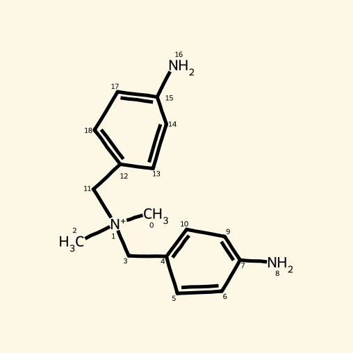 C[N+](C)(Cc1ccc(N)cc1)Cc1ccc(N)cc1